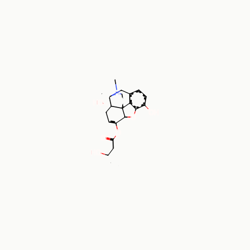 CN1CCC23c4c5ccc(O)c4OC2C(OC(=O)C[C@@H](O)C(=O)O)=CC[C@@]3(O)[C@H]1C5